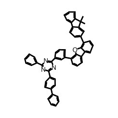 CC1(C)c2ccccc2-c2ccc(-c3cccc4c3oc3c(-c5cccc(-c6nc(-c7ccccc7)nc(-c7ccc(-c8ccccc8)cc7)n6)c5)cccc34)cc21